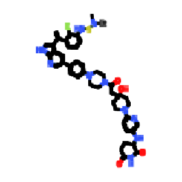 C=C(c1cccc(NSN(C)CC)c1F)c1c[nH]c2ncc(-c3ccc(N4CCN(C(=O)CC5(O)CCN(c6ccc(NC7CCC(=O)NC7=O)cn6)CC5)CC4)cc3)cc12